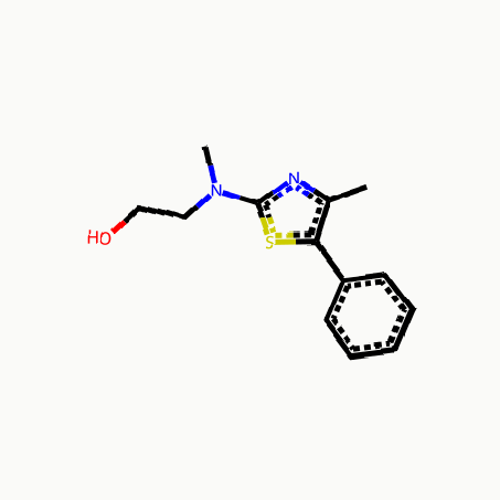 Cc1nc(N(C)CCO)sc1-c1ccccc1